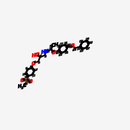 CC(NCC(O)COc1ccc(S(C)(=O)=O)cc1)Oc1ccc(OCc2ccccc2)cc1